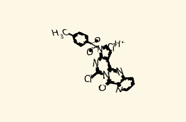 Cc1ccc(S(=O)(=O)n2ccc3c2nc(Cl)n2c(=O)c4ncccc4nc32)cc1.[Cl-].[H+]